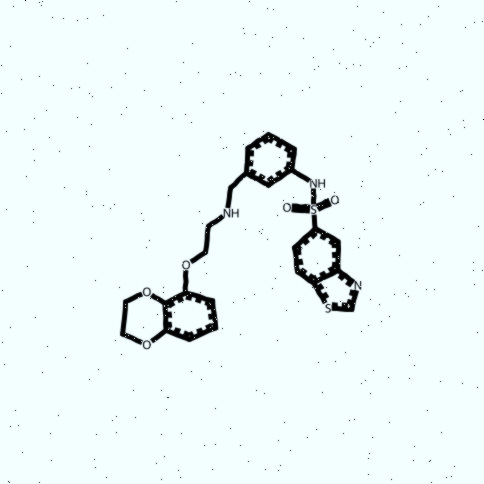 O=S(=O)(Nc1cccc(CNCCOc2cccc3c2OCCO3)c1)c1ccc2scnc2c1